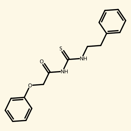 O=C(COc1ccccc1)NC(=S)NCCc1ccccc1